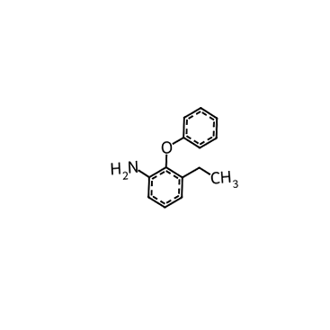 CCc1cccc(N)c1Oc1ccccc1